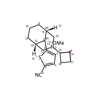 CO[C@@]1(c2ccc(C#N)s2)[C@@H]2CCC[C@H]1CN(C13CC(C1)C3)C2